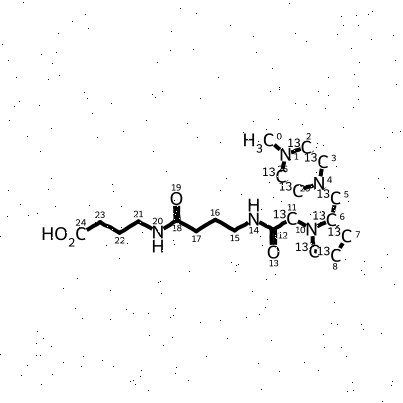 CN1[13CH2][13CH2]N([13CH2][13CH]2[13CH2][13CH2][13CH2]N2[13CH2]C(=O)NCCCC(=O)NCCCC(=O)O)[13CH2][13CH2]1